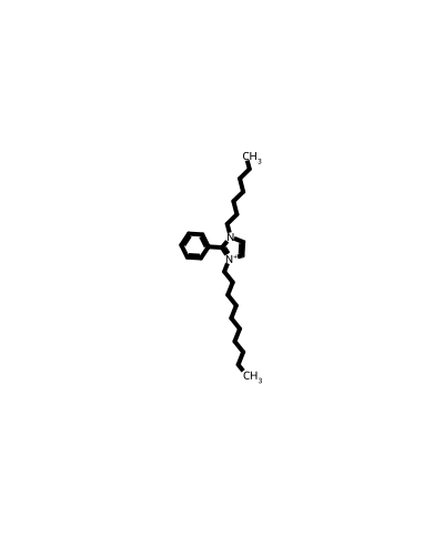 CCCCCCCCCC[n+]1ccn(CCCCCCC)c1-c1ccccc1